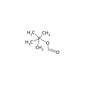 CP(C)(C)(C)OC=O